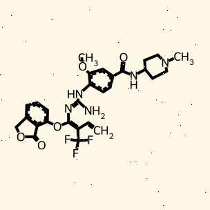 C=C/C(=C(\N=C(/N)Nc1ccc(C(=O)NC2CCN(C)CC2)cc1OC)Oc1cccc2c1C(=O)OC2)C(F)(F)F